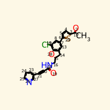 CC(=O)c1ccc(-c2cc(Cl)c3c(c2)CC(CNC(=O)C#Cc2cccnc2)O3)s1